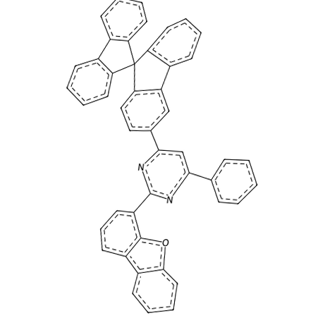 c1ccc(-c2cc(-c3ccc4c(c3)-c3ccccc3C43c4ccccc4-c4ccccc43)nc(-c3cccc4c3oc3ccccc34)n2)cc1